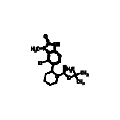 Cn1c(=O)[nH]c2ccc(C3CCCCN3C(=O)OC(C)(C)C)c(Cl)c21